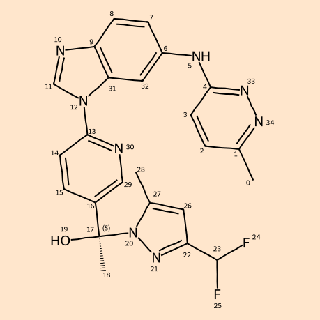 Cc1ccc(Nc2ccc3ncn(-c4ccc([C@](C)(O)n5nc(C(F)F)cc5C)cn4)c3c2)nn1